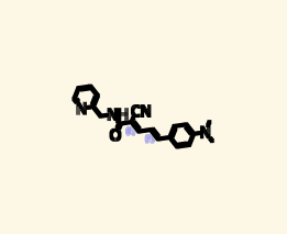 CN(C)c1ccc(/C=C/C=C(\C#N)C(=O)NCc2ccccn2)cc1